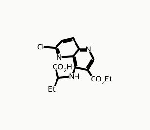 CCOC(=O)c1cnc2ccc(Cl)nc2c1NC(CC)C(=O)O